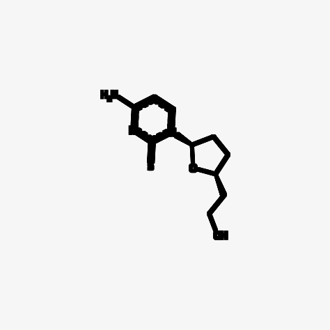 Nc1ccn([C@H]2CC[C@@H](CCO)O2)c(=S)n1